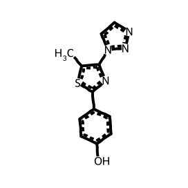 Cc1sc(-c2ccc(O)cc2)nc1-n1ccnn1